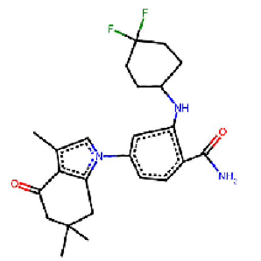 Cc1cn(-c2ccc(C(N)=O)c(NC3CCC(F)(F)CC3)c2)c2c1C(=O)CC(C)(C)C2